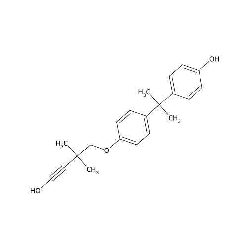 CC(C)(C#CO)COc1ccc(C(C)(C)c2ccc(O)cc2)cc1